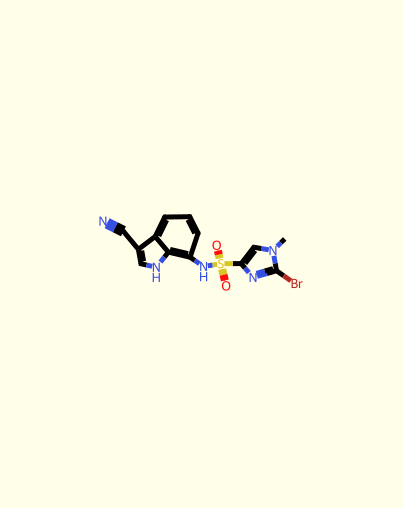 Cn1cc(S(=O)(=O)Nc2cccc3c(C#N)c[nH]c23)nc1Br